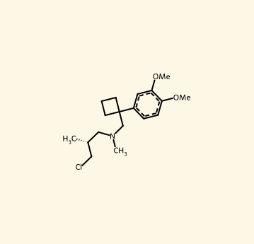 COc1ccc(C2(CN(C)C[C@@H](C)CCl)CCC2)cc1OC